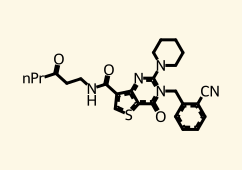 CCCC(=O)CCNC(=O)c1csc2c(=O)n(Cc3ccccc3C#N)c(N3CCCCC3)nc12